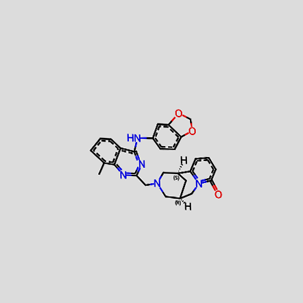 Cc1cccc2c(Nc3ccc4c(c3)OCO4)nc(CN3C[C@H]4C[C@@H](C3)c3cccc(=O)n3C4)nc12